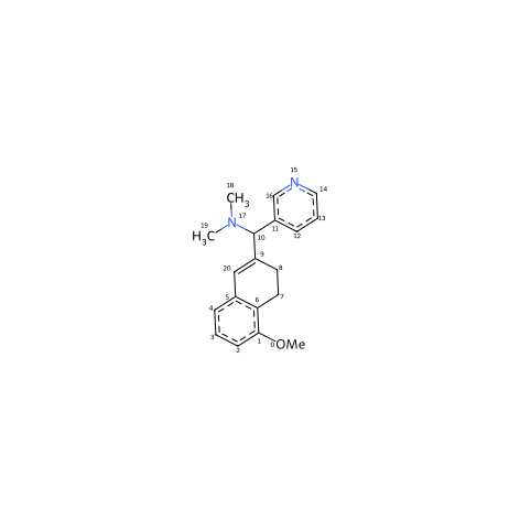 COc1cccc2c1CCC(C(c1cccnc1)N(C)C)=C2